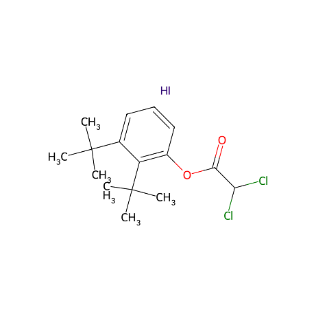 CC(C)(C)c1cccc(OC(=O)C(Cl)Cl)c1C(C)(C)C.I